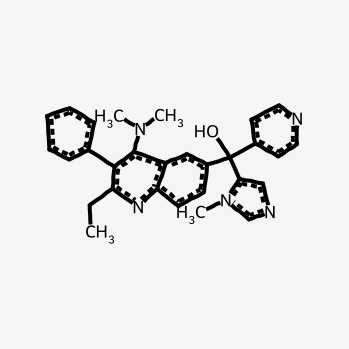 CCc1nc2ccc(C(O)(c3ccncc3)c3cncn3C)cc2c(N(C)C)c1-c1ccccc1